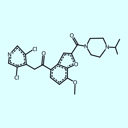 COc1ccc(C(=O)Cc2c(Cl)cncc2Cl)c2cc(C(=O)N3CCN(C(C)C)CC3)oc12